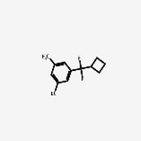 CCc1cc(C(F)(F)F)cc(C(F)(F)C2CCC2)c1